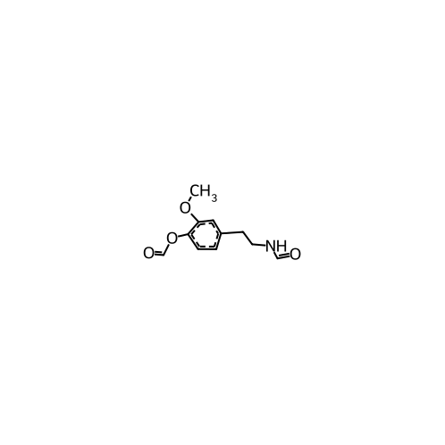 COc1cc(CCNC=O)ccc1OC=O